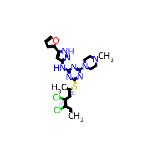 C=C/C(Cl)=C(Cl)\C=C(/C)Sc1nc(Nc2cc(-c3ccco3)[nH]n2)nc(N2CCN(C)CC2)n1